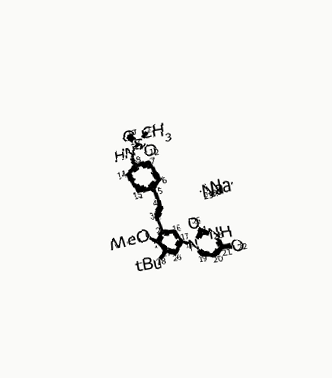 COc1c(C=Cc2ccc(NS(C)(=O)=O)cc2)cc(-n2ccc(=O)[nH]c2=O)cc1C(C)(C)C.[Na].[Na]